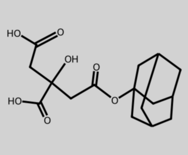 O=C(O)CC(O)(CC(=O)OC12CC3CC(CC(C3)C1)C2)C(=O)O